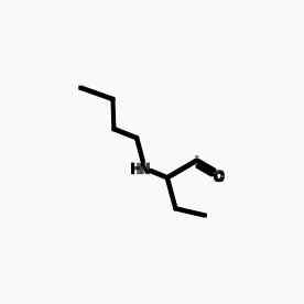 CCCCNC([C]=O)CC